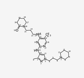 Cc1nn(CCCN2CCCCC2)cc1Nc1ncc(C(F)(F)F)c(NCCCN2CCCCC2=O)n1